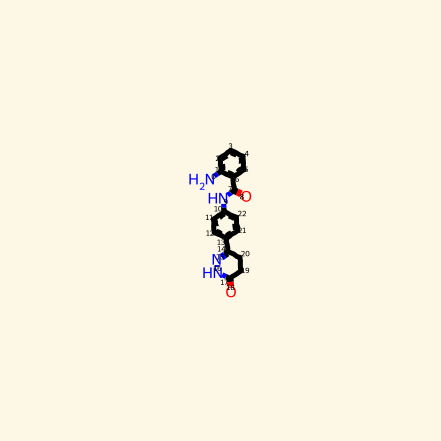 Nc1ccccc1C(=O)Nc1ccc(C2=NNC(=O)CC2)cc1